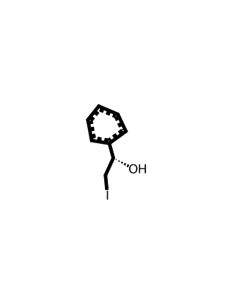 O[C@H](CI)c1ccccc1